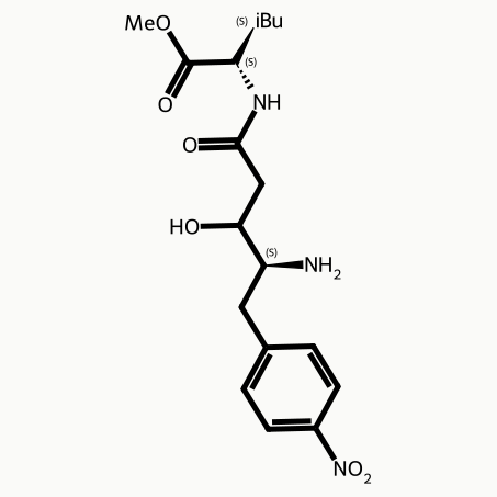 CC[C@H](C)[C@H](NC(=O)CC(O)[C@@H](N)Cc1ccc([N+](=O)[O-])cc1)C(=O)OC